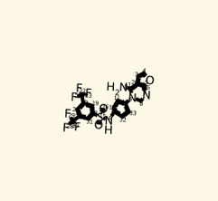 NC1=c2ccoc2=NCN1c1ccc(NS(=O)(=O)c2cc(C(F)(F)F)cc(C(F)(F)F)c2)cc1